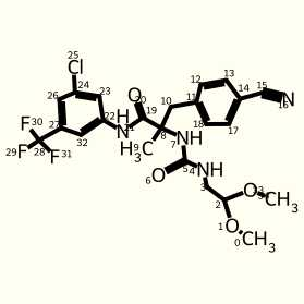 COC(CNC(=O)NC(C)(Cc1ccc(C#N)cc1)C(=O)Nc1cc(Cl)cc(C(F)(F)F)c1)OC